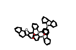 c1cc(N(c2ccccc2-c2cccc3c2oc2c4ccccc4ccc32)c2ccccc2-n2c3ccccc3c3ccccc32)cc(-n2c3ccccc3c3ccccc32)c1